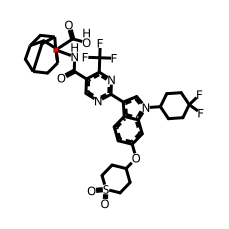 O=C(NC1(C(=O)O)C2CCC3CC(C2)CC1C3)c1cnc(-c2cn(C3CCC(F)(F)CC3)c3cc(OC4CCS(=O)(=O)CC4)ccc23)nc1C(F)(F)F